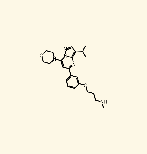 CNCCCOc1cccc(-c2cc(N3CCOCC3)n3ncc(C(C)C)c3n2)c1